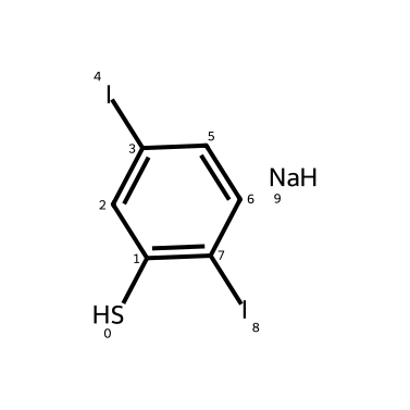 Sc1cc(I)ccc1I.[NaH]